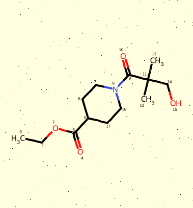 CCOC(=O)C1CCN(C(=O)C(C)(C)CO)CC1